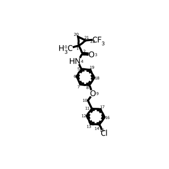 CC1(C(=O)Nc2ccc(OCc3ccc(Cl)cc3)cc2)CC1C(F)(F)F